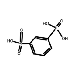 O=P(O)(O)c1cccc(S(=O)(=O)O)c1